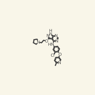 Cc1ccc(Oc2ccc(Nc3ncnc4[nH]nc(OCCN5CCCC5)c34)cc2Cl)cn1